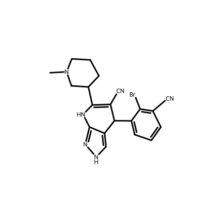 CN1CCCC(C2=C(C#N)C(c3cccc(C#N)c3Br)c3c[nH]nc3N2)C1